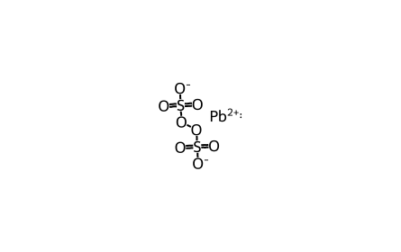 O=S(=O)([O-])OOS(=O)(=O)[O-].[Pb+2]